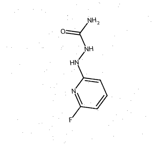 NC(=O)NNc1cccc(F)n1